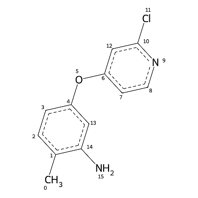 Cc1ccc(Oc2ccnc(Cl)c2)cc1N